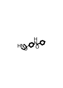 O=C(Nc1ccc([C@@H]2CNCCO2)cc1)c1ccccc1